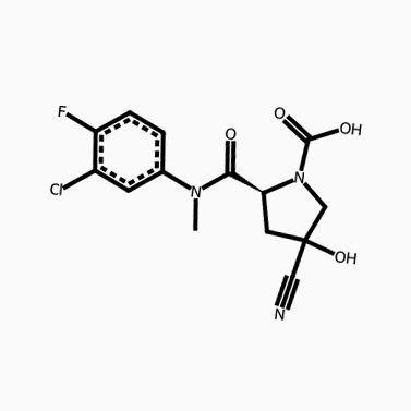 CN(C(=O)[C@@H]1CC(O)(C#N)CN1C(=O)O)c1ccc(F)c(Cl)c1